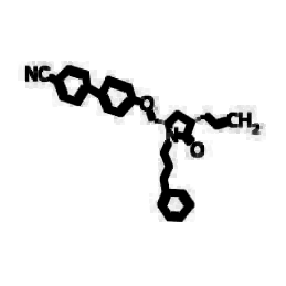 C=CC[C@H]1C[C@@H](COc2ccc(-c3ccc(C#N)cc3)cc2)N(CCCc2ccccc2)C1=O